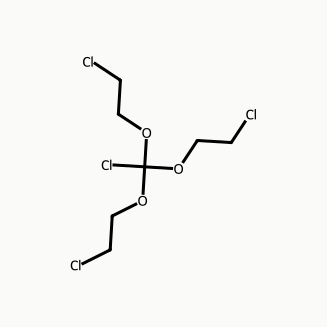 ClCCOC(Cl)(OCCCl)OCCCl